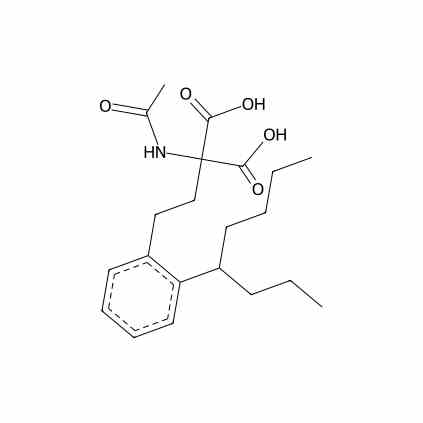 CCCCC(CCC)c1ccccc1CCC(NC(C)=O)(C(=O)O)C(=O)O